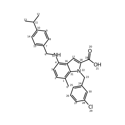 Cc1ccc(NCc2ccc(C(C)C)cc2)c2cc(C(=O)O)n(Cc3cccc(Cl)c3)c12